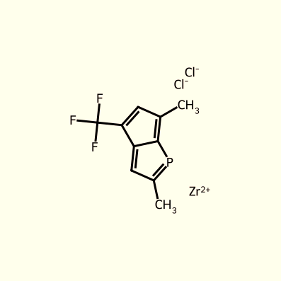 CC1=PC2=C(C)C=C(C(F)(F)F)C2=C1.[Cl-].[Cl-].[Zr+2]